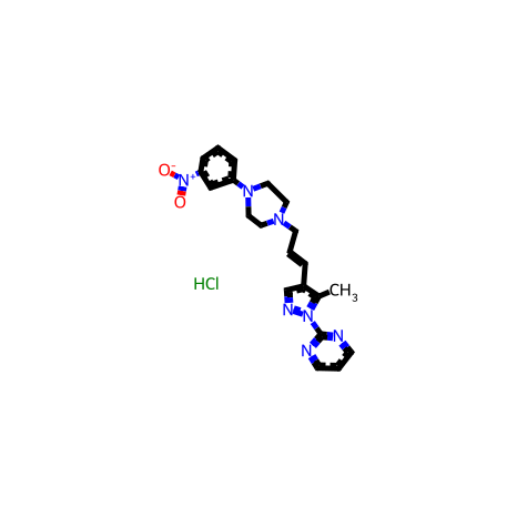 Cc1c(/C=C/CN2CCN(c3cccc([N+](=O)[O-])c3)CC2)cnn1-c1ncccn1.Cl